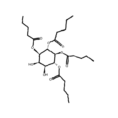 CCCCC(=O)O[C@@H]1[C@@H](OC(=O)CCCC)[C@H](OC(=O)CCCC)[C@@H](O)[C@@H](O)[C@H]1OC(=O)CCCC